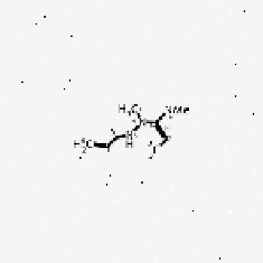 C=CCNN(C)/C(=C\C)NC